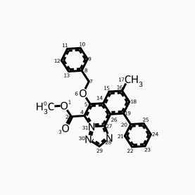 COC(=O)c1c(OCc2ccccc2)c2cc(C)cc(-c3ccccc3)c2c2ncnn12